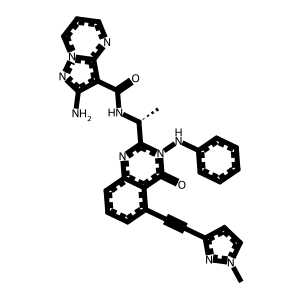 C[C@@H](NC(=O)c1c(N)nn2cccnc12)c1nc2cccc(C#Cc3ccn(C)n3)c2c(=O)n1Nc1ccccc1